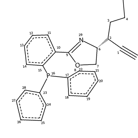 C#CC(CCC)[C@@H]1COC(c2ccccc2P(c2ccccc2)c2ccccc2)=N1